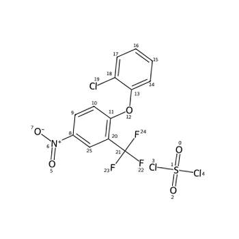 O=S(=O)(Cl)Cl.O=[N+]([O-])c1ccc(Oc2ccccc2Cl)c(C(F)(F)F)c1